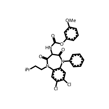 COc1cccc(OC(=O)NC2C(=O)N(CCC(C)C)c3cc(Cl)c(Cl)cc3N(c3ccccc3)C2=O)c1